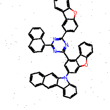 c1ccc2cc3c(cc2c1)c1ccccc1n3-c1cc(-c2nc(-c3ccc4oc5ccccc5c4c3)nc(-c3cccc4ccccc34)n2)c2c(c1)oc1ccccc12